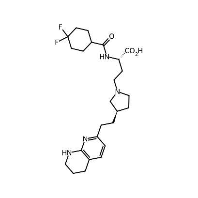 O=C(N[C@@H](CCN1CC[C@@H](CCc2ccc3c(n2)NCCC3)C1)C(=O)O)C1CCC(F)(F)CC1